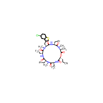 CC(C)C[C@@H]1NC(=O)[C@H](Cc2csc3ccc(Cl)cc23)N(C)C(=O)[C@H](CC(F)(F)F)NC(=O)[C@H](CC(C)C)N(C)C(=O)[C@H](CC(F)(F)F)NC(=O)[C@@H](CCC#N)OC(=O)[C@H](C)N(C)C1=O